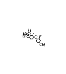 Cc1c(Oc2ccc(C#N)cc2F)ccc(CO[Si](C)(C)C(C)(C)C)c1O